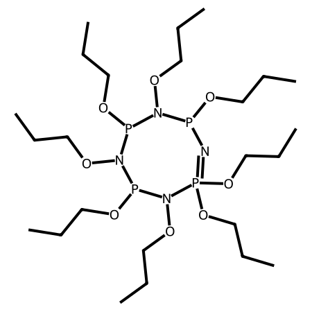 CCCON1P(OCCC)N=P(OCCC)(OCCC)N(OCCC)P(OCCC)N(OCCC)P1OCCC